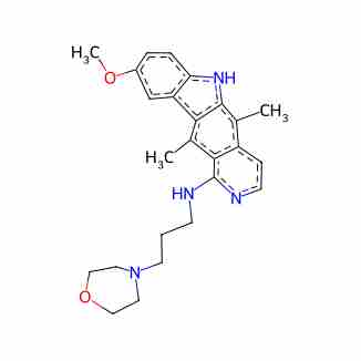 COc1ccc2[nH]c3c(C)c4ccnc(NCCCN5CCOCC5)c4c(C)c3c2c1